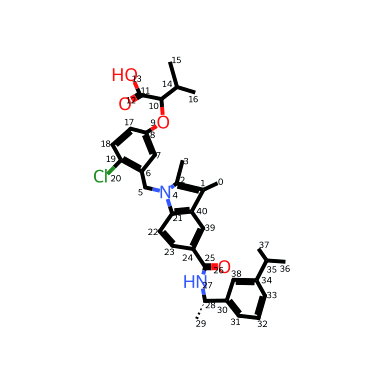 Cc1c(C)n(Cc2cc(OC(C(=O)O)C(C)C)ccc2Cl)c2ccc(C(=O)N[C@@H](C)c3cccc(C(C)C)c3)cc12